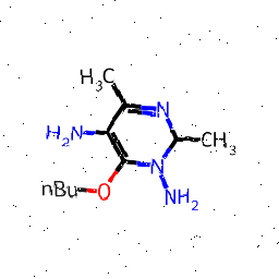 CCCCOC1=C(N)C(C)=NC(C)N1N